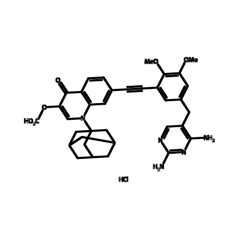 COc1cc(Cc2cnc(N)nc2N)cc(C#Cc2ccc3c(=O)c(OC(=O)O)cn(C45CC6CC(CC(C6)C4)C5)c3c2)c1OC.Cl